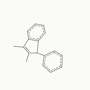 CC1=C(C)C(c2ccccc2)c2ccccc21